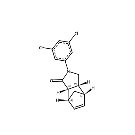 O=C1[C@@H]2[C@H](CN1c1cc(Cl)cc(Cl)c1)[C@@H]1C=C[C@H]2C1